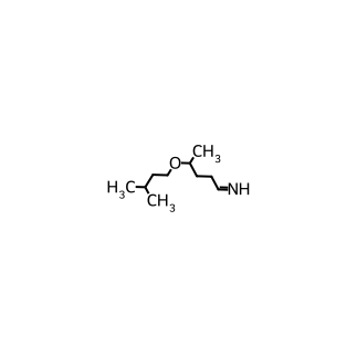 CC(C)CCOC(C)CCC=N